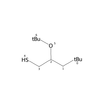 CC(C)(C)CC(CS)OC(C)(C)C